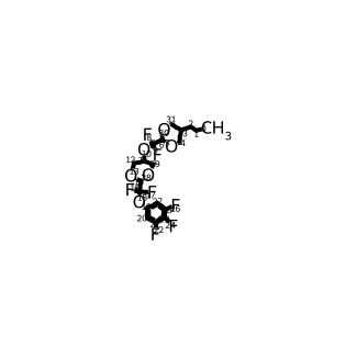 CCCC1COC(C(F)(F)OC2COC(C(F)(F)Oc3cc(F)c(F)c(F)c3)OC2)OC1